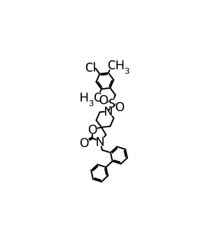 Cc1cc(CS(=O)(=O)N2CCC3(CC2)CN(Cc2ccccc2-c2ccccc2)C(=O)O3)c(C)cc1Cl